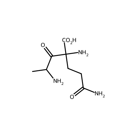 CC(N)C(=O)C(N)(CCC(N)=O)C(=O)O